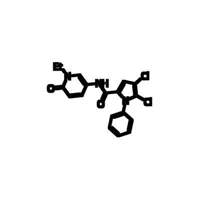 CCn1cc(NC(=O)c2cc(Cl)c(Cl)n2-c2ccccc2)ccc1=O